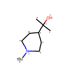 CC(C)(O)C1CCN(C(C)(C)C)CC1